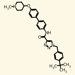 CN1CCC(Oc2ccc(-c3ccc(NC(=O)c4cn(Cc5ccc(C(C)(C)C)cc5)nn4)cc3)cc2)CC1